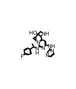 CC(Nc1nc(Nc2cnccn2)cc(C2NC[C@@]2(O)C2CC2)n1)c1ccc(F)cc1